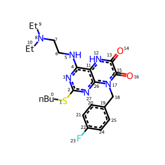 CCCCSc1nc(NCCN(CC)CC)c2[nH]c(=O)c(=O)n(Cc3ccc(F)cc3)c2n1